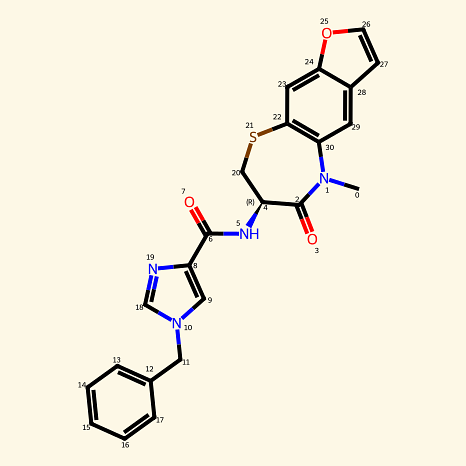 CN1C(=O)[C@@H](NC(=O)c2cn(Cc3ccccc3)cn2)CSc2cc3occc3cc21